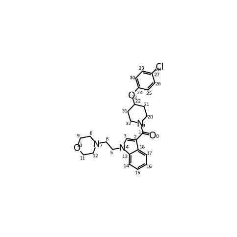 O=C(c1cn(CCN2CCOCC2)c2ccccc12)N1CCC(Oc2ccc(Cl)cc2)CC1